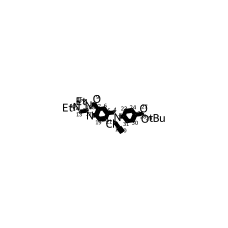 C#CCN(Cc1cc2c(=O)n(C)c(CN(CC)CC)nc2cc1Cl)c1ccc(C(=O)OC(C)(C)C)cc1